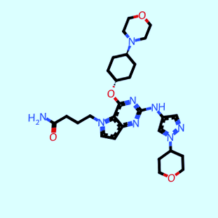 NC(=O)CCCn1ccc2nc(Nc3cnn(C4CCOCC4)c3)nc(O[C@H]3CC[C@H](N4CCOCC4)CC3)c21